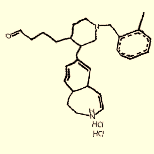 Cc1ccccc1CN1CCC(CCCC=O)C(C2=CC3C=CNCCC3C=C2)C1.Cl.Cl